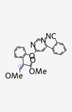 CO/C=C(\C(=O)OC)c1ccccc1Oc1cc(-c2ccccc2C#N)ncn1